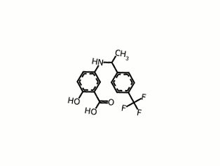 CC(Nc1ccc(O)c(C(=O)O)c1)c1ccc(C(F)(F)F)cc1